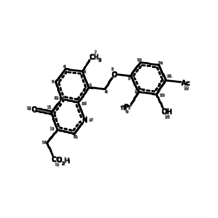 CCCc1c(OCc2c(C)ccn3c(=O)c(CC(=O)O)cnc23)ccc(C(C)=O)c1O